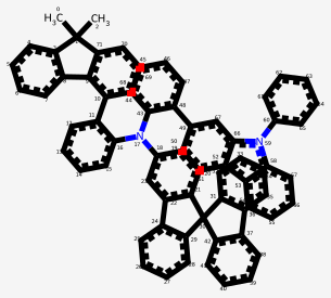 CC1(C)c2ccccc2-c2c(-c3ccccc3N(c3ccc4c(c3)-c3ccccc3C43c4ccccc4-c4ccccc43)c3ccccc3-c3ccc4c5ccccc5n(-c5ccccc5)c4c3)cccc21